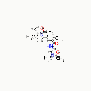 C=C/C(=C\C=C1/CCC(C)[C@H](C2CC2)N1C(C)=O)C(=O)NCCN(C)C(C)=O